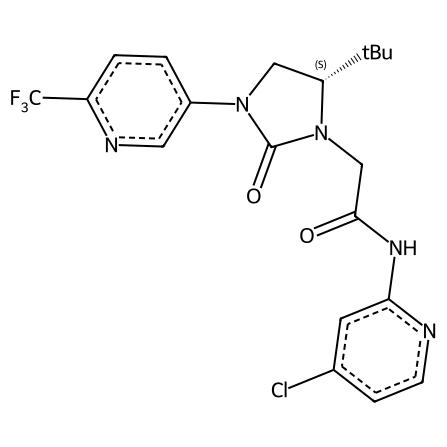 CC(C)(C)[C@H]1CN(c2ccc(C(F)(F)F)nc2)C(=O)N1CC(=O)Nc1cc(Cl)ccn1